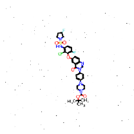 CC(C)(C)OC(=O)N1CCN(c2ccc(-n3cnc4ccc(Oc5c(F)ccc(NS(=O)(=O)N6CC[C@@H](F)C6)c5Cl)cc4c3=O)cc2)CC1